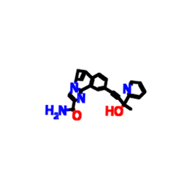 CC(O)(C#Cc1ccc2c(c1)-c1nc(C(N)=O)cn1C1C=C2C1)c1ccccn1